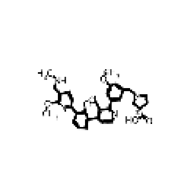 CNCc1ccc(-c2cccc(-c3ccnc(-c4cc(CN5CC[C@H](C(=O)O)C5)cc(OC)c4)c3Cl)c2Cl)nc1OC